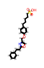 O=S(=O)(O)CCCCCc1ccc(OCc2coc(C=Cc3ccccc3)n2)cc1